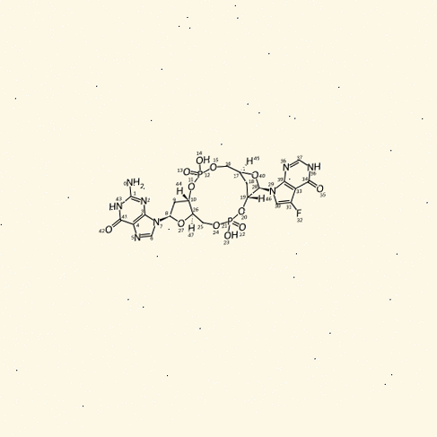 Nc1nc2c(ncn2[C@H]2C[C@@H]3OP(=O)(O)OC[C@@H]4C[C@@H](OP(=O)(O)OC[C@H]3O2)[C@H](n2cc(F)c3c(=O)[nH]cnc32)O4)c(=O)[nH]1